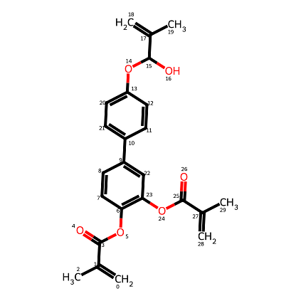 C=C(C)C(=O)Oc1ccc(-c2ccc(OC(O)C(=C)C)cc2)cc1OC(=O)C(=C)C